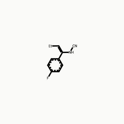 CC/C=C(/NC#N)c1ccc(F)cc1